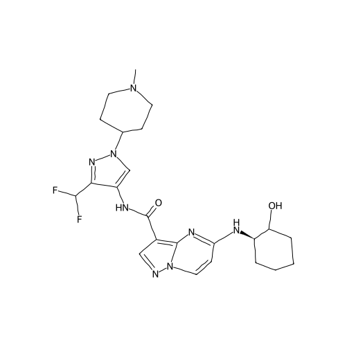 CN1CCC(n2cc(NC(=O)c3cnn4ccc(N[C@@H]5CCCCC5O)nc34)c(C(F)F)n2)CC1